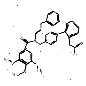 COc1cc(C(=O)N(CCCc2ccccc2)Cc2ccc(-c3ccccc3CC(=O)O)cc2)cc(OC)c1OC